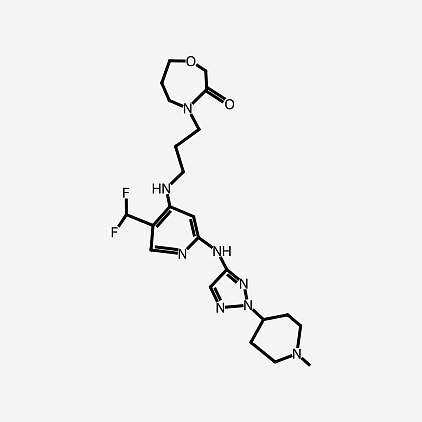 CN1CCC(n2ncc(Nc3cc(NCCCN4CCCOCC4=O)c(C(F)F)cn3)n2)CC1